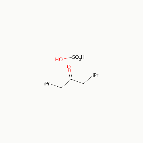 CC(C)CC(=O)CC(C)C.O=S(=O)(O)O